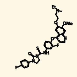 CCN(C)CCOc1cc2c(Oc3ccc(NC(=S)N4CCN(c5ccc(F)cc5)C4=O)cc3F)ccnc2cc1OC